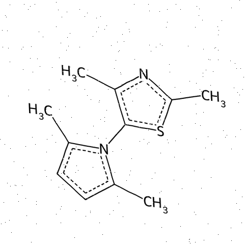 Cc1nc(C)c(-n2c(C)ccc2C)s1